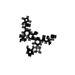 Cn1cnnc1CC1(c2cc(NCC(F)(F)CO)nc(N3Cc4c(cc(CNC5(C)CCC5)cc4C(F)(F)F)C3=O)c2)CCC1